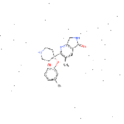 Cc1cc2c(nc1[C@]1(Oc3cccc(C#N)c3)CCNC[C@H]1O)CNC2=O